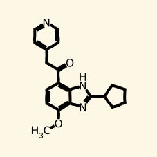 COc1ccc(C(=O)Cc2ccncc2)c2[nH]c(C3CCCC3)nc12